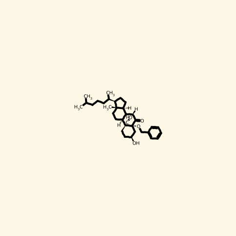 CC(C)CCCC(C)[C@H]1CC[C@H]2[C@@H]3[C@H]4OC[C@@]5(CC[C@H](O)C[C@]5(OCc5ccccc5)C4=O)[C@H]3CC[C@]12C